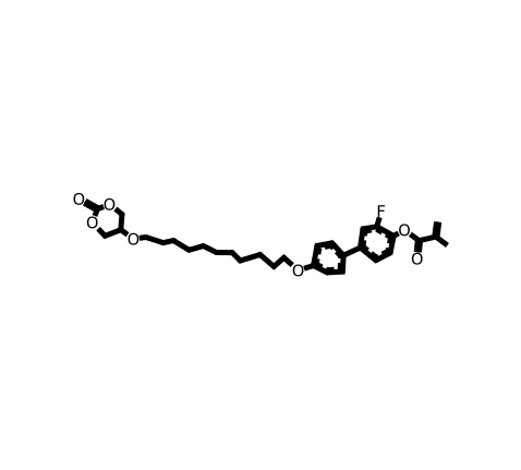 C=C(C)C(=O)Oc1ccc(-c2ccc(OCCCCCCCCCCCOC3COC(=O)OC3)cc2)cc1F